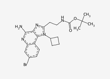 CC(C)(C)OC(=O)NCCc1nc2c(N)nc3cc(Br)ccc3c2n1C1CCC1